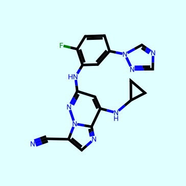 N#Cc1cnc2c(NC3CC3)cc(Nc3cc(-n4cncn4)ccc3F)nn12